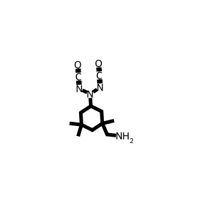 CC1(C)CC(N(N=C=O)N=C=O)CC(C)(CN)C1